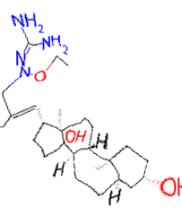 CCON(C/C(C)=C/[C@H]1CC[C@]2(O)[C@@H]3CC[C@@H]4C[C@@H](O)CC[C@]4(C)[C@H]3CC[C@]12C)N=C(N)N